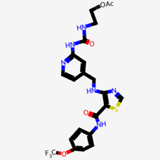 CC(=O)OCCNC(=O)Nc1cc(CNc2ncsc2C(=O)Nc2ccc(OC(F)(F)F)cc2)ccn1